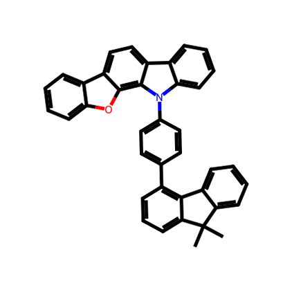 CC1(C)c2ccccc2-c2c(-c3ccc(-n4c5ccccc5c5ccc6c7ccccc7oc6c54)cc3)cccc21